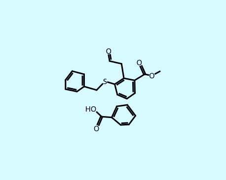 COC(=O)c1cccc(SCc2ccccc2)c1CC=O.O=C(O)c1ccccc1